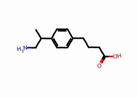 CC(CN)c1ccc(CCCC(=O)O)cc1